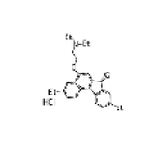 CCc1ccc2c(c1)C(=O)c1cc(OCCN(CC)CC)c3cc(CC)ccc3c1-2.Cl